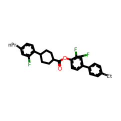 CCCc1ccc(C2CCC(C(=O)Oc3ccc(-c4ccc(CC)cc4)c(F)c3F)CC2)c(F)c1